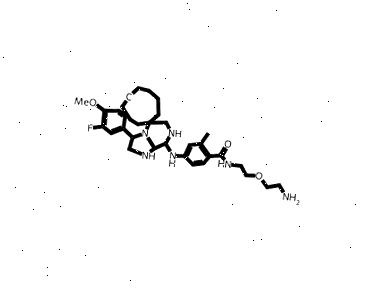 COc1ccc(C2CNC3C(Nc4ccc(C(=O)NCCOCCN)c(C)c4)NCC4(CCCCCCCC4)N23)cc1F